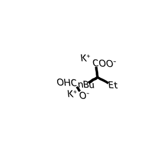 CCCCC(CC)C(=O)[O-].O=C[O-].[K+].[K+]